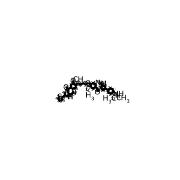 COc1cc2c(cc1OCCCOc1cc3c(cc1C)C(=O)N1C=C(c4ccc(NC(C)C)cc4)C[C@H]1C=N3)N=C[C@@H]1CC(c3cccs3)=CN1C2=O